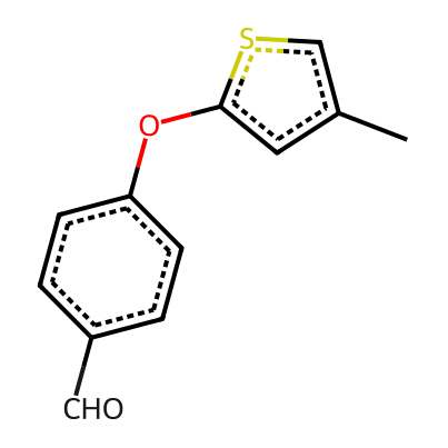 Cc1csc(Oc2ccc(C=O)cc2)c1